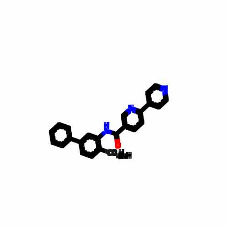 O=C(Nc1cc(-c2ccccc2)ccc1C(=O)O)c1ccc(-c2ccncc2)nc1.[NaH]